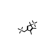 CC1=C(C)[C](C)([Ti]([CH3])([CH3])[CH3])C=C1C[Si](C)(C)C